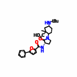 CC(C)(C)NC1CCC(N2CC[C@H](NC(=O)c3ccc(-c4ccccc4)o3)C2=O)C(C)(C(=O)O)C1